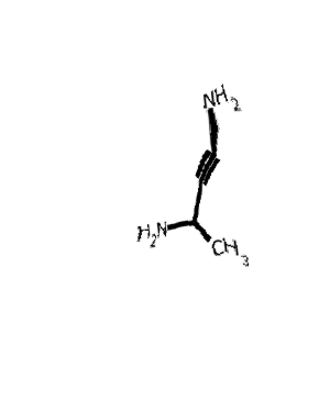 CC(N)C#CN